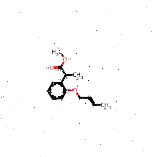 CC=CCOc1ccccc1C(C)C(=O)OC